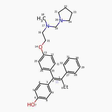 CC/C(=C(\c1ccc(O)cc1)c1ccc(OCCN(C)CN2CCCC2)cc1)c1ccccc1